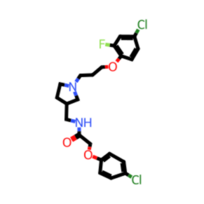 O=C(COc1ccc(Cl)cc1)NCC1CCN(CCCOc2ccc(Cl)cc2F)C1